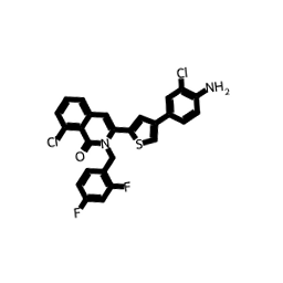 Nc1ccc(-c2csc(-c3cc4cccc(Cl)c4c(=O)n3Cc3ccc(F)cc3F)c2)cc1Cl